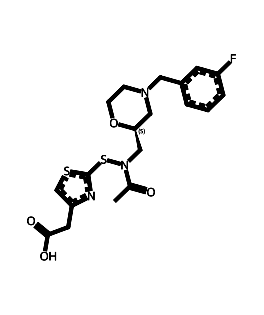 CC(=O)N(C[C@@H]1CN(Cc2cccc(F)c2)CCO1)Sc1nc(CC(=O)O)cs1